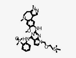 COc1cc2c(cc1Nc1nc(Nc3ccccc3P(C)(C)=O)c3ccn(COCC[Si](C)(C)C)c3n1)-c1cnn(C)c1CCN2C